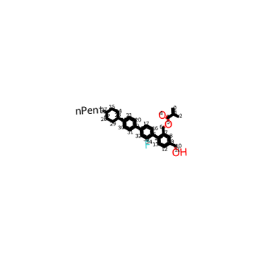 C=C(C)C(=O)OCc1cc(CO)ccc1-c1ccc(-c2ccc(C3CCC(CCCCC)CC3)cc2)cc1F